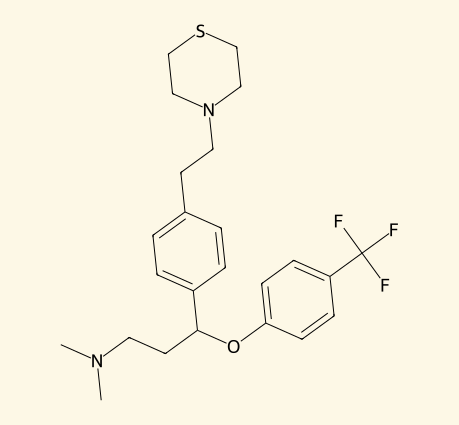 CN(C)CCC(Oc1ccc(C(F)(F)F)cc1)c1ccc(CCN2CCSCC2)cc1